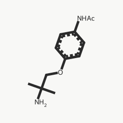 CC(=O)Nc1ccc(OCC(C)(C)N)cc1